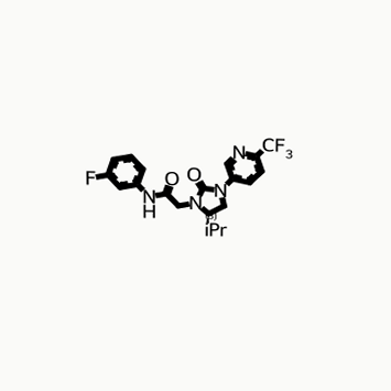 CC(C)[C@H]1CN(c2ccc(C(F)(F)F)nc2)C(=O)N1CC(=O)Nc1cccc(F)c1